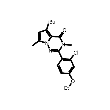 CCOc1ccc(-c2nn3c(C)cc(C(C)CC)c3c(=O)n2C)c(Cl)c1